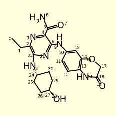 CCc1nc(C(N)=O)c(Nc2ccc3c(c2)OCC(=O)N3)nc1N[C@H]1CC[C@H](O)CC1